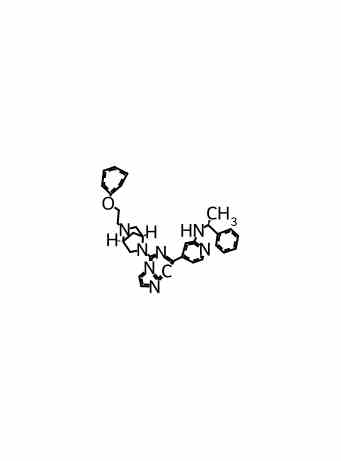 C[C@H](Nc1cc(-c2cc3nccn3c(N3C[C@@H]4C[C@H]3CN4CCOc3ccccc3)n2)ccn1)c1ccccc1